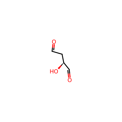 O=CC[C@H](O)C=O